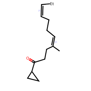 CC/C=C\CC/C=C(/C)CCC(=O)C1CC1